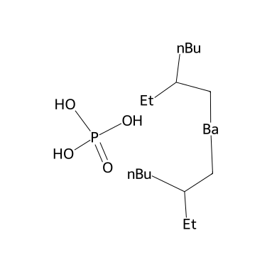 CCCCC(CC)[CH2][Ba][CH2]C(CC)CCCC.O=P(O)(O)O